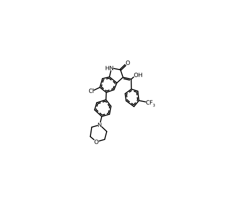 O=C1Nc2cc(Cl)c(-c3ccc(N4CCOCC4)cc3)cc2C1=C(O)c1cccc(C(F)(F)F)c1